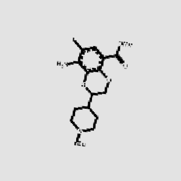 CCCCN1CCC(C2COc3c(C(=O)OC)cc(I)c(N)c3O2)CC1